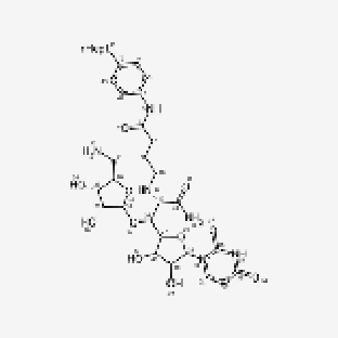 CCCCCCCc1ccc(NC(=O)CCCN[C@H](C(N)=O)[C@H](OC2O[C@H](CN)[C@@H](O)[C@H]2O)C2OC(n3ccc(=O)[nH]c3=O)C(O)C2O)cc1